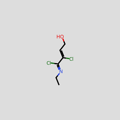 CCN=C(Cl)C(Cl)=CCO